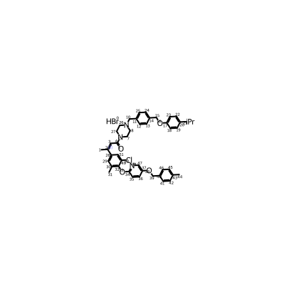 Br.C/C(=C/C(=O)N1CCN(Cc2ccc(COc3ccc(C(C)C)cc3)cc2)CC1)c1cc(C)c(Oc2ccc(OCc3ccc(C)cc3)cn2)c(Cl)c1